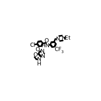 CCN1CCN(Cc2cc(NC(=O)c3ccc(Cl)c(Oc4ncnc5c4OCCN5)c3)cc(C(F)(F)F)c2)CC1